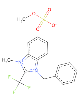 COS(=O)(=O)[O-].C[n+]1c(C(F)(F)F)n(Cc2ccccc2)c2ccccc21